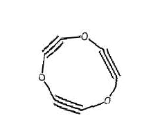 C1#COC#COC#CO1